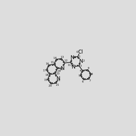 Clc1nc(-c2ccccc2)nc(-c2ccc3ccc4cccnc4c3n2)n1